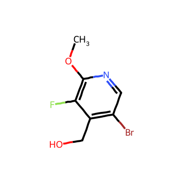 COc1ncc(Br)c(CO)c1F